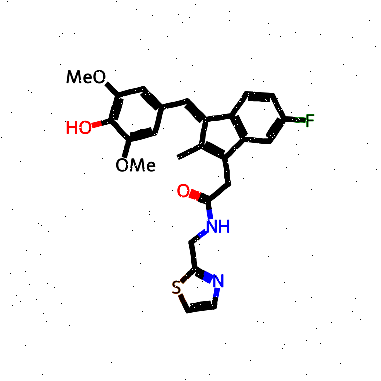 COc1cc(C=C2C(C)=C(CC(=O)NCc3nccs3)c3cc(F)ccc32)cc(OC)c1O